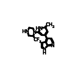 C=C1C=C(c2ccnc3[nH]ccc23)C=C(N2CCNCC2C(F)(F)F)N1